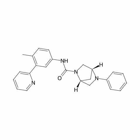 Cc1ccc(NC(=O)N2C[C@H]3C[C@@H]2CN3c2ccccc2)cc1-c1ccccn1